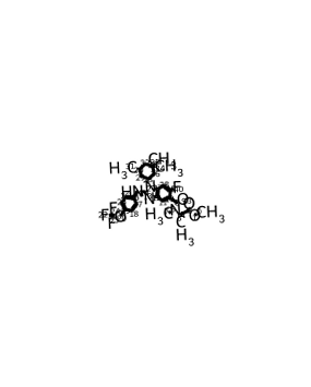 COC(=O)[C@H](C)N(C)C(=O)c1cc2nc(Nc3ccc(OC(F)(F)F)cc3)n([C@H]3C[C@@H](C)CC(C)(C)C3)c2cc1F